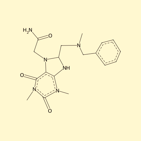 CN(Cc1ccccc1)CC1Nc2c(c(=O)n(C)c(=O)n2C)N1CC(N)=O